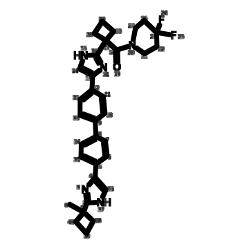 CC1(c2nc(-c3ccc(-c4ccc(-c5c[nH]c(C6(C(=O)N7CCC(F)(F)CC7)CCC6)n5)cc4)cc3)c[nH]2)CCC1